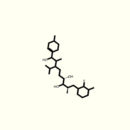 CC1CC=C(C(O)C(C)C(CC[C@H](O)C(O)[C@H](C)CC2CCCC(C)C2F)C(C)C)CC1